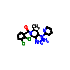 CC1CC(N(N)c2ccccn2)=C(N)CN1C(=O)c1cccc(Cl)c1Cl